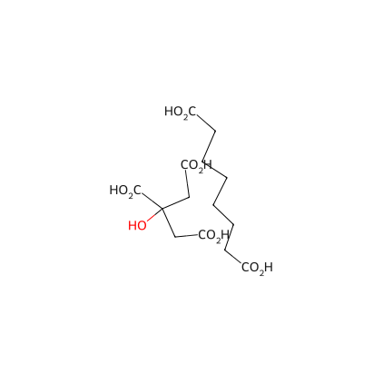 O=C(O)CC(O)(CC(=O)O)C(=O)O.O=C(O)CCCCCCC(=O)O